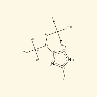 Cc1noc(C(CC(F)(F)F)C(C)(C)C)n1